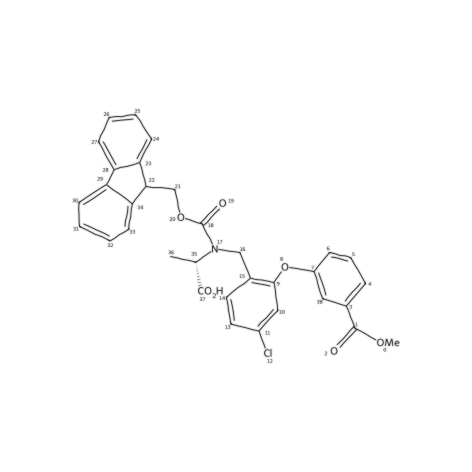 COC(=O)c1cccc(Oc2cc(Cl)ccc2CN(C(=O)OCC2c3ccccc3-c3ccccc32)[C@@H](C)C(=O)O)c1